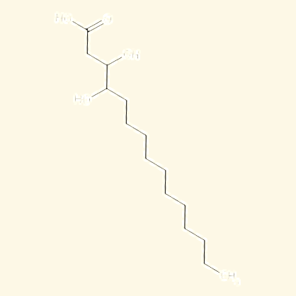 CCCCCCCCCCCC(O)C(O)CC(=O)O